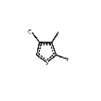 Cc1c(Cl)csc1F